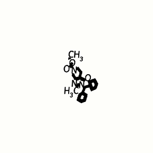 CCOC(=O)N1CCc2c(nc(C)n(C(c3ccccc3)c3ccccc3)c2=O)C1